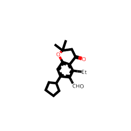 CCc1c(C=O)c(C2CCCC2)cc2c1C(=O)CC(C)(C)O2